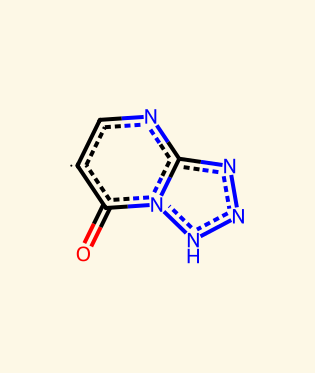 O=c1[c]cnc2nn[nH]n12